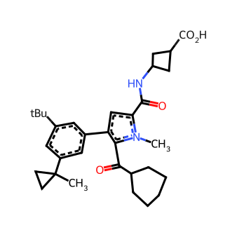 Cn1c(C(=O)NC2CC(C(=O)O)C2)cc(-c2cc(C(C)(C)C)cc(C3(C)CC3)c2)c1C(=O)C1CCCCC1